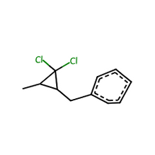 CC1C(Cc2ccccc2)C1(Cl)Cl